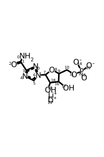 NC(=O)c1ncn(C2OC(COP(=O)([O-])[O-])C(O)C2O)n1.[Li+].[Li+]